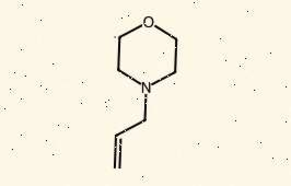 C=CCN1C[CH]OCC1